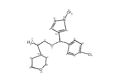 CC(COC(c1ccc(Cl)cc1)c1cnn(C)c1)N1CCOCC1